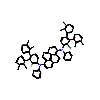 Cc1cccc(-c2ccc(N(c3ccccc3)c3ccc4ccc5c(N(c6ccccc6)c6ccc(-c7cccc(C)c7C)c(-c7cccc(C)c7C)c6F)ccc6ccc3c4c65)c(F)c2-c2cccc(C)c2C)c1C